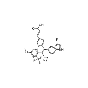 COc1cnc(/C(=C(\c2ccc(/C=C/C(=O)O)cc2)c2ccc3[nH]nc(F)c3c2)C2CCC2)c(C(F)(F)F)n1